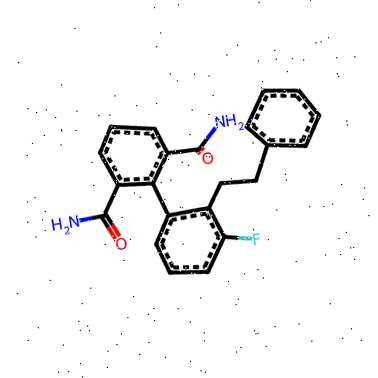 NC(=O)c1cccc(C(N)=O)c1-c1cccc(F)c1CCc1ccccc1